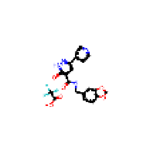 O=C(NCc1ccc2c(c1)OCO2)c1cc(-c2ccncc2)n[nH]c1=O.O=C(O)C(F)(F)F